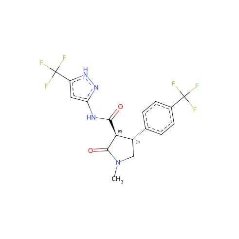 CN1C[C@@H](c2ccc(C(F)(F)F)cc2)[C@H](C(=O)Nc2cc(C(F)(F)F)[nH]n2)C1=O